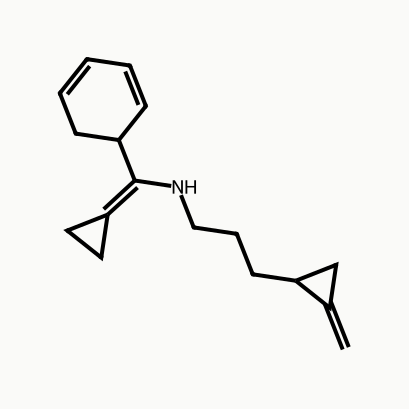 C=C1CC1CCCNC(=C1CC1)C1C=CC=CC1